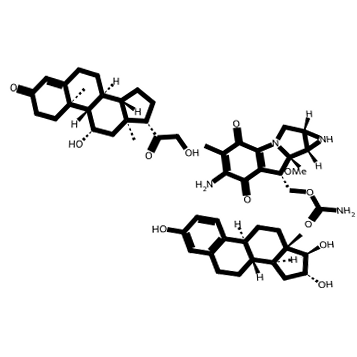 CO[C@@]12[C@H](COC(N)=O)C3=C(C(=O)C(C)=C(N)C3=O)N1C[C@@H]1N[C@@H]12.C[C@]12CC[C@@H]3c4ccc(O)cc4CC[C@H]3[C@@H]1C[C@@H](O)[C@@H]2O.C[C@]12C[C@H](O)[C@H]3[C@@H](CCC4=CC(=O)CC[C@@]43C)[C@@H]1CC[C@@H]2C(=O)CO